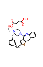 Cc1cc2c(s1)Cc1ccccc1N=C2N1CCN(C)[C@@H](Cc2ccccc2)C1.O=C(O)CCC(=O)O